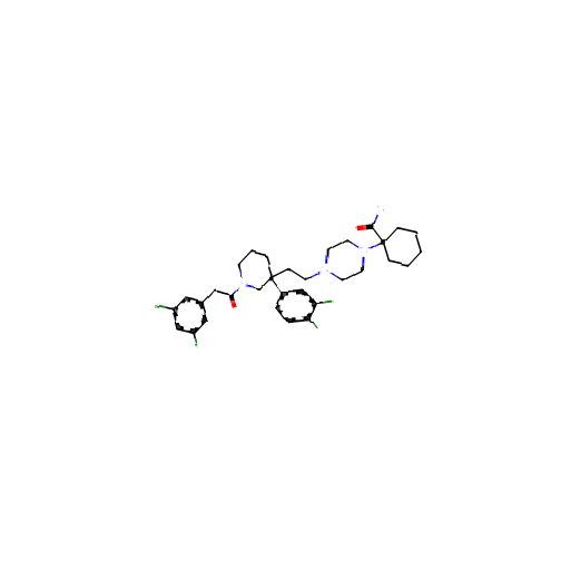 NC(=O)C1(N2CCN(CCC3(c4ccc(Cl)c(Cl)c4)CCCN(C(=O)Cc4cc(Cl)cc(Cl)c4)C3)CC2)CCCCC1